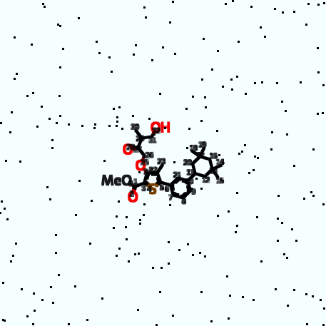 COC(=O)c1sc(-c2cccc(C3CC(C)(C)CC(C)(C)C3)c2)c(C)c1OCC(=O)C(C)CO